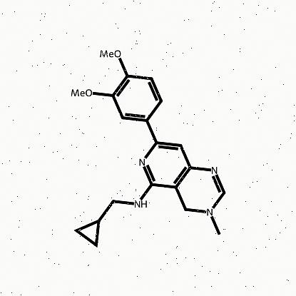 COc1ccc(-c2cc3c(c(NCC4CC4)n2)CN(C)C=N3)cc1OC